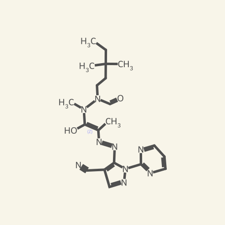 CCC(C)(C)CCN(C=O)N(C)/C(O)=C(\C)N=Nc1c(C#N)cnn1-c1ncccn1